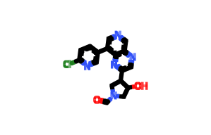 O=CN1CC(O)C(c2cnc3cncc(-c4ccc(Cl)nc4)c3n2)C1